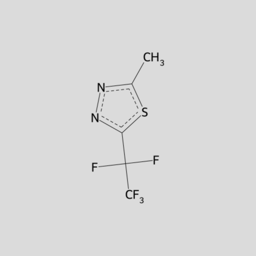 Cc1nnc(C(F)(F)C(F)(F)F)s1